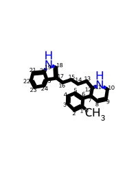 Cc1ccccc1C1C=CCNC1CCCCc1c[nH]c2ccccc12